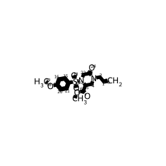 C=CCN1CC(C(=O)OC)N(S(=O)(=O)c2ccc(OC)cc2)CC1=O